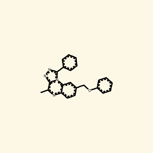 Cc1nc2ccc(COc3ccccc3)cc2n2c(-c3ccccc3)nnc12